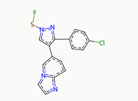 FSn1cc(-c2ccc3nccn3c2)c(-c2ccc(Cl)cc2)n1